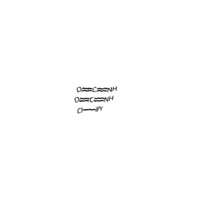 CC(C)Cl.N=C=O.N=C=O